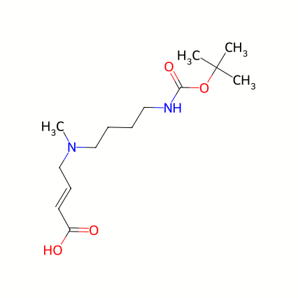 CN(C/C=C/C(=O)O)CCCCNC(=O)OC(C)(C)C